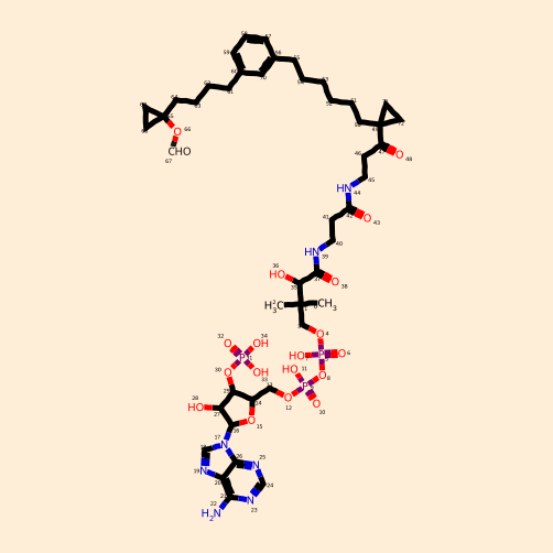 CC(C)(COP(=O)(O)OP(=O)(O)OCC1OC(n2cnc3c(N)ncnc32)C(O)C1OP(=O)(O)O)C(O)C(=O)NCCC(=O)NCCC(=O)C1(CCCCCCc2cccc(CCCCC3(OC=O)CC3)c2)CC1